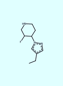 CCc1cnn(C2CCNCC2F)c1